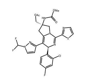 COC(=O)N[C@]1(COC(C)=O)CC2=C(c3ccn(C(F)F)n3)[C@H](c3ccc(F)cc3Cl)N=C(c3nccs3)N2C1